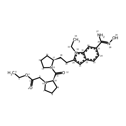 CCOC(=O)CN1CCC[C@@H]1C(=O)N1CCC[C@H]1CCc1cc2ccc(/C(N)=N/O)cc2n1CC